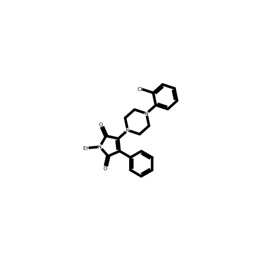 CCN1C(=O)C(c2ccccc2)=C(N2CCN(c3ccccc3Cl)CC2)C1=O